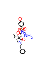 COc1ccc(S(=O)(=O)N(CN)C(=O)CC2(CC(C)C)CCN(CCc3ccccc3)C2=O)cc1